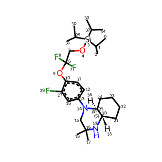 CC(C)[Si](OCC(F)(F)Oc1ccc(N2CC(C)(C)N[C@H]3CCCC[C@@H]32)cc1F)(C(C)C)C(C)C